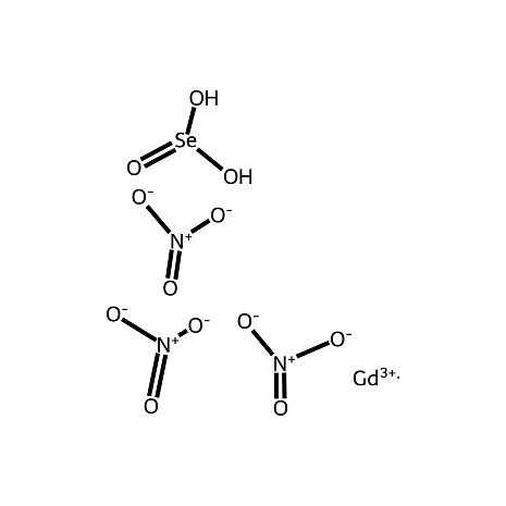 O=[N+]([O-])[O-].O=[N+]([O-])[O-].O=[N+]([O-])[O-].O=[Se](O)O.[Gd+3]